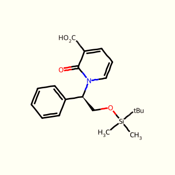 CC(C)(C)[Si](C)(C)OC[C@@H](c1ccccc1)n1cccc(C(=O)O)c1=O